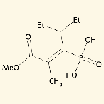 CCC(CC)C(=C(C)C(=O)OC)P(=O)(O)O